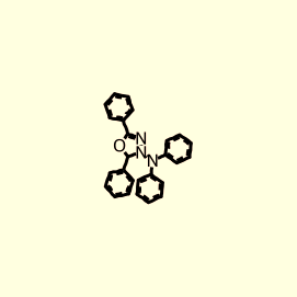 c1ccc(C2=NN(N(c3ccccc3)c3ccccc3)C(c3ccccc3)O2)cc1